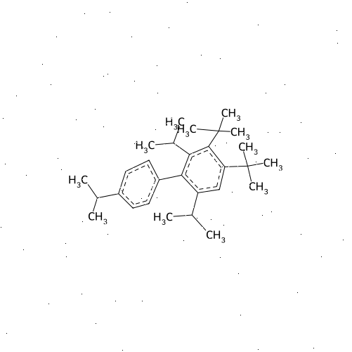 CC(C)c1ccc(-c2c(C(C)C)cc(C(C)(C)C)c(C(C)(C)C)c2C(C)C)cc1